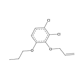 C=CCOc1c(OCCC)ccc(Cl)c1Cl